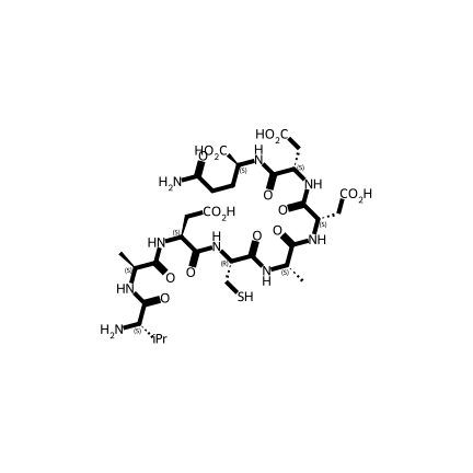 CC(C)[C@H](N)C(=O)N[C@@H](C)C(=O)N[C@@H](CC(=O)O)C(=O)N[C@@H](CS)C(=O)N[C@@H](C)C(=O)N[C@@H](CC(=O)O)C(=O)N[C@@H](CC(=O)O)C(=O)N[C@@H](CCC(N)=O)C(=O)O